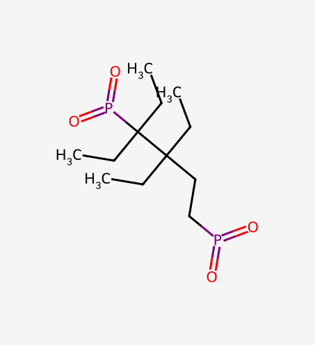 CCC(CC)(CCP(=O)=O)C(CC)(CC)P(=O)=O